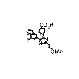 COCCCc1cnc(-c2cc(F)c3sccc3c2)c(N2CCC(C(=O)O)CC2)n1